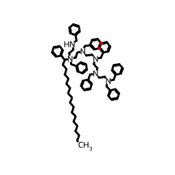 CCCCCCCCCCCCCCCCCCC(c1ccccc1)[N+](CCNCc1ccccc1)(CCN(CCN(CCN(CCN(Cc1ccccc1)Cc1ccccc1)Cc1ccccc1)Cc1ccccc1)Cc1ccccc1)Cc1ccccc1